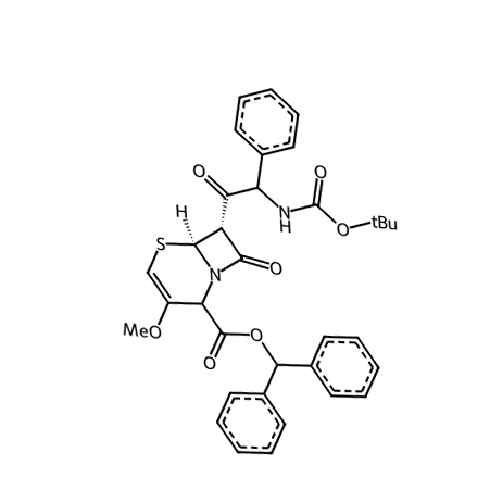 COC1=CS[C@H]2[C@H](C(=O)C(NC(=O)OC(C)(C)C)c3ccccc3)C(=O)N2C1C(=O)OC(c1ccccc1)c1ccccc1